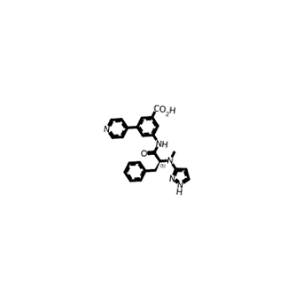 CN(c1cc[nH]n1)[C@@H](Cc1ccccc1)C(=O)Nc1cc(C(=O)O)cc(-c2ccncc2)c1